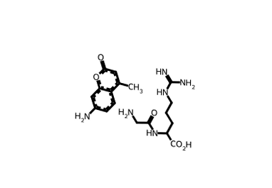 Cc1cc(=O)oc2cc(N)ccc12.N=C(N)NCCCC(NC(=O)CN)C(=O)O